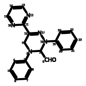 O=CC1N(c2ccccc2)CC(c2ncccn2)=NN1c1ccccc1